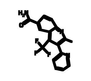 Cc1nc2ccc(C(N)=O)cc2c(C(F)(F)F)c1-c1ccccn1